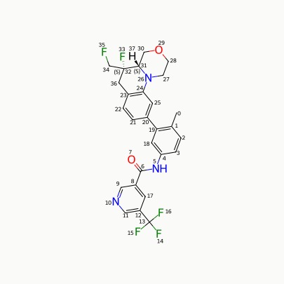 Cc1ccc(NC(=O)c2cncc(C(F)(F)F)c2)cc1-c1ccc2c(c1)N1CCOC[C@H]1[C@](F)(CF)C2